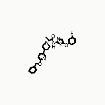 CC(C(=O)Nc1ncc(Oc2cccc(F)c2)s1)N1CC=C(c2ccc(OCc3ccccc3)nc2)CC1